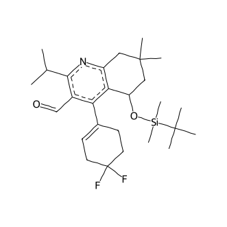 CC(C)c1nc2c(c(C3=CCC(F)(F)CC3)c1C=O)C(O[Si](C)(C)C(C)(C)C)CC(C)(C)C2